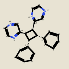 c1ccc([C@@H]2[C@H](c3ccccc3)[C@@H](c3cnccn3)[C@H]2c2cnccn2)cc1